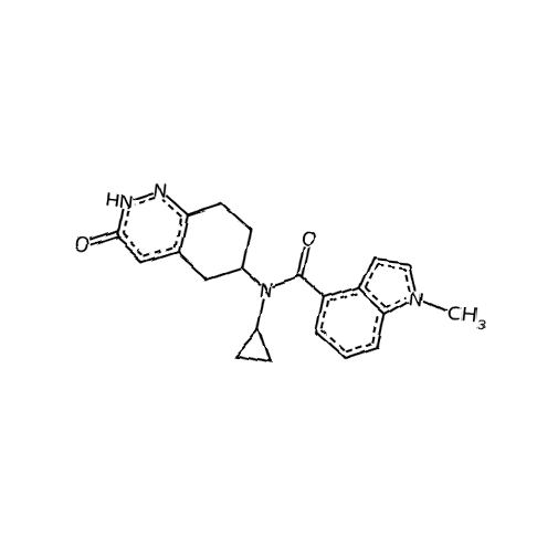 Cn1ccc2c(C(=O)N(C3CC3)C3CCc4n[nH]c(=O)cc4C3)cccc21